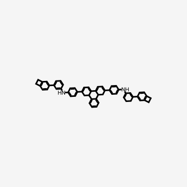 C1=C(Nc2ccc(C3=CC=C4C5=CC=C(c6ccc(Nc7cccc(-c8ccc9c(c8)CC9)c7)cc6)CC5c5ccccc5C4C3)cc2)C=C(c2ccc3c(c2)CC3)CC1